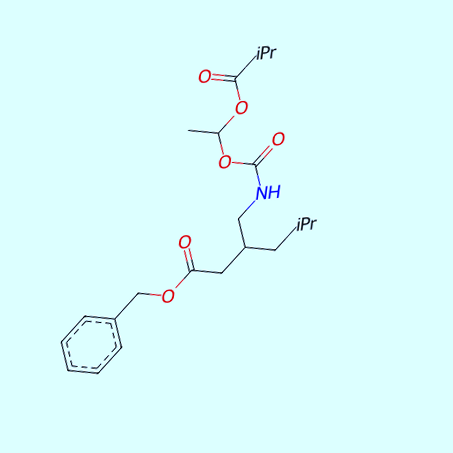 CC(C)CC(CNC(=O)OC(C)OC(=O)C(C)C)CC(=O)OCc1ccccc1